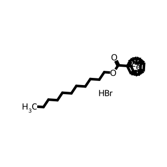 Br.CCCCCCCCCCCOC(=O)[C]12[CH]3[CH]4[CH]5[CH]1[Fe]45321678[CH]2[CH]1[CH]6[CH]7[CH]28